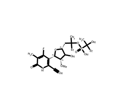 C#Cc1[nH]c(=O)c(C)c(F)c1[C@@H]1O[C@H](CC(C)(CC)OP(=O)(O)C(C)(O)CC)C(O)[C@@H]1OC